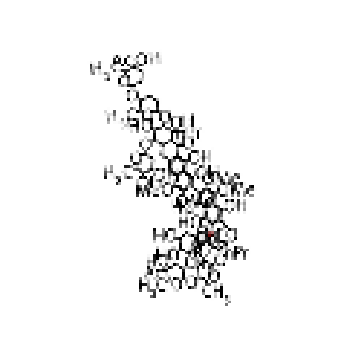 CCCC1(O)C(OC2CCC(OC3CCC(O)(C(C)=O)C(C)O3)C(C)O2)C(O)C(OC2CC(O)C(O)C(C)O2)C2Cc3cc4c(OC)c(OC)c(-c5c(OC)c(OC)c6c(O)c7c(c(O)c6c5O)C(=O)C5(O)C6C7OC5(CCC)C(OC5CCC(OC7CCC(O)(C(C)=O)C(C)O7)C(C)O5)C(O)C6OC5CC(O)C(O)C(C)O5)c(O)c4c(O)c3C(=O)C21